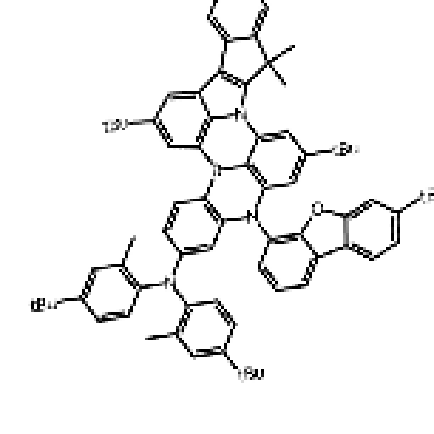 Cc1cc(C(C)(C)C)ccc1N(c1ccc2c(c1)N(c1cccc3c1oc1cc(C(C)(C)C)ccc13)c1cc(C(C)(C)C)cc3c1B2c1cc(C(C)(C)C)cc2c4c(n-3c12)C(C)(C)c1ccccc1-4)c1ccc(C(C)(C)C)cc1C